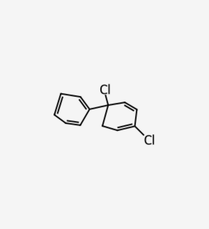 ClC1=CCC(Cl)(c2ccccc2)C=C1